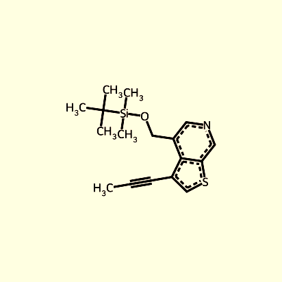 CC#Cc1csc2cncc(CO[Si](C)(C)C(C)(C)C)c12